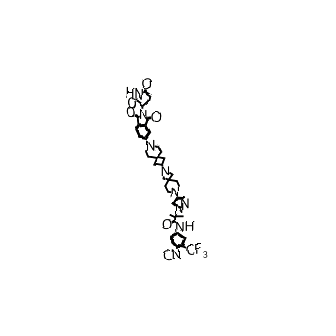 CC(C)(C(=O)Nc1ccc(C#N)c(C(F)(F)F)c1)n1cc(N2CCC3(CC2)CN(C2CC4(CCN(c5ccc6c(c5)C(=O)N(C5CCC(=O)NC5=O)C6=O)CC4)C2)C3)cn1